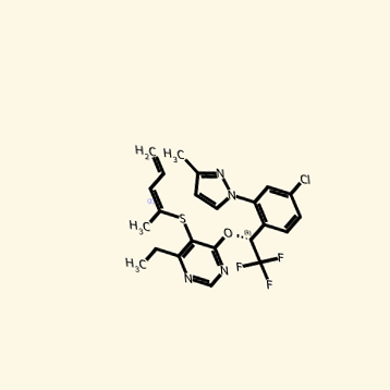 C=C/C=C(/C)Sc1c(CC)ncnc1O[C@H](c1ccc(Cl)cc1-n1ccc(C)n1)C(F)(F)F